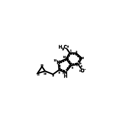 Cc1cc[n+]([O-])c2[nH]c(CC3CC3)nc12